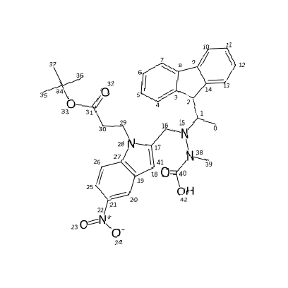 CC(C1c2ccccc2-c2ccccc21)N(Cc1cc2cc([N+](=O)[O-])ccc2n1CCC(=O)OC(C)(C)C)N(C)C(=O)O